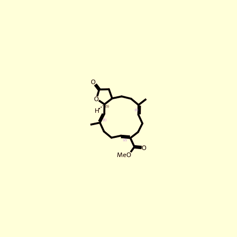 COC(=O)/C1=C\CC/C(C)=C/[C@H]2OC(=O)CC2CC/C(C)=C/CC1